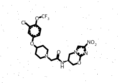 O=C(CN1CCC(Oc2ccc(OC(F)(F)F)c(Cl)c2)CC1)N[C@@H]1COc2nc([N+](=O)[O-])cn2C1